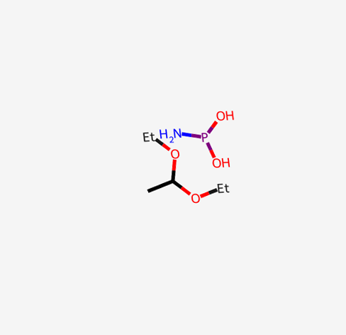 CCOC(C)OCC.NP(O)O